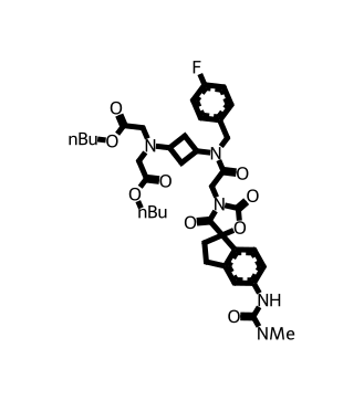 CCCCOC(=O)CN(CC(=O)OCCCC)C1CC(N(Cc2ccc(F)cc2)C(=O)CN2C(=O)OC3(CCc4cc(NC(=O)NC)ccc43)C2=O)C1